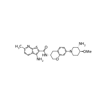 CO[C@H]1CCN(c2ccc3c(c2)OC[C@H](NC(=O)c2sc4nc(C)ccc4c2N)C3)C[C@@H]1N